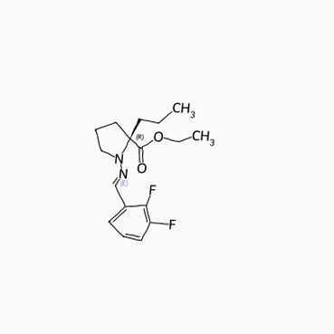 CCC[C@]1(C(=O)OCC)CCCN1/N=C/c1cccc(F)c1F